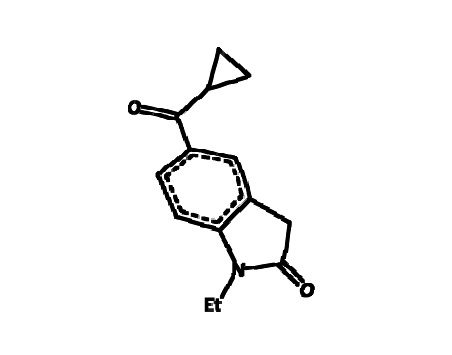 CCN1C(=O)Cc2cc(C(=O)C3CC3)ccc21